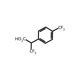 O=C(O)C(c1ccc(C(F)(F)F)cc1)C(F)(F)F